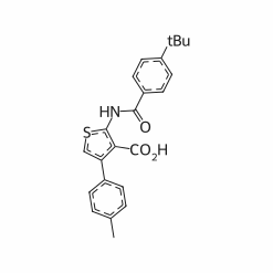 Cc1ccc(-c2csc(NC(=O)c3ccc(C(C)(C)C)cc3)c2C(=O)O)cc1